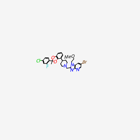 COCCn1c(CN2CCC(c3cccc4c3OC(C)(c3ccc(Cl)cc3F)O4)CC2)nc2ncc(Br)cc21